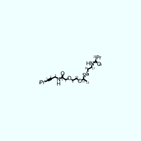 CC(C)C#CCNC(=O)COCCOC(C)SSCCNC(=O)C(C)C